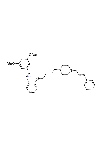 COc1cc(/C=C/c2ccccc2OCCCCN2CCN(CC=Cc3ccccc3)CC2)cc(OC)c1